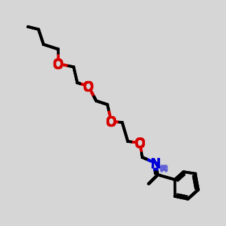 CCCCOCCOCCOCCOC/N=C(\C)c1ccccc1